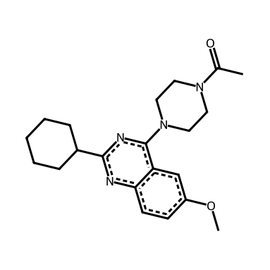 COc1ccc2nc(C3CCCCC3)nc(N3CCN(C(C)=O)CC3)c2c1